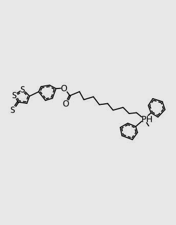 C[PH](CCCCCCCCCC(=O)Oc1ccc(-c2cc(=S)ss2)cc1)(c1ccccc1)c1ccccc1